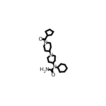 NC(=O)N(C1CCCCC1)C1CCN(C2CCN(C(=O)C3CCCC3)CC2)CC1